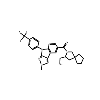 Cn1cc2c3cc(C(=O)N4CC5(CCCC5)CC4CO)ccc3n(-c3ccc(C(F)(F)F)cc3)c2n1